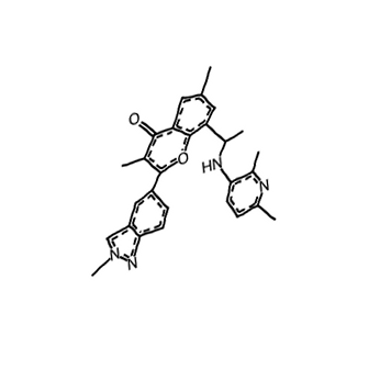 Cc1cc(C(C)Nc2ccc(C)nc2C)c2oc(-c3ccc4nn(C)cc4c3)c(C)c(=O)c2c1